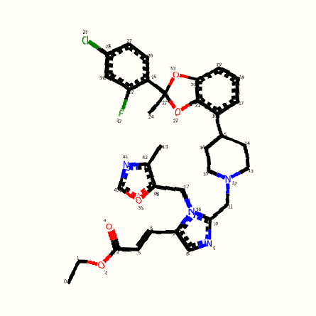 CCOC(=O)/C=C/c1cnc(CN2CCC(c3cccc4c3OC(C)(c3ccc(Cl)cc3F)O4)CC2)n1Cc1ocnc1C